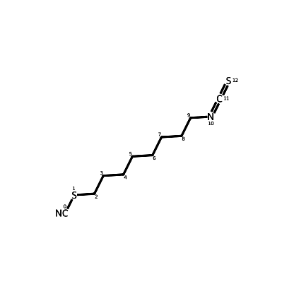 N#CSCCCCCCCCN=C=S